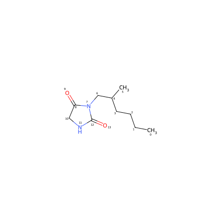 CCCCC(C)CN1C(=O)CNC1=O